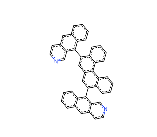 c1ccc2c(-c3cc4cc(-c5c6ccccc6cc6ccncc56)c5ccccc5c4c4ccccc34)c3cnccc3cc2c1